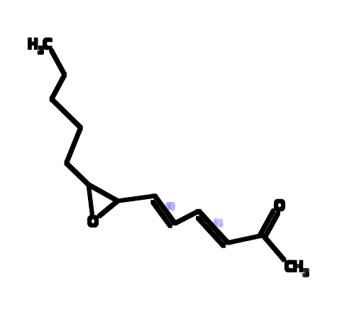 CCCCCC1OC1/C=C/C=C/C(C)=O